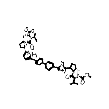 COC(=O)N[C@H](C(=O)N1CCCC1c1ncc(-c2ccc(-c3ccc(-c4ccc([C@@H]5CCCN5C(=O)N(NC(=O)OC)C(C)C)[nH]4)cc3)cc2)[nH]1)C(C)C